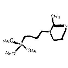 CO[Si](CCCN1CCN=C1C)(OC)OC